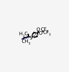 C=C/C(=C\C=C/C)SN1CCN(C(=O)OC(C(F)(F)F)C(F)(F)F)CC1